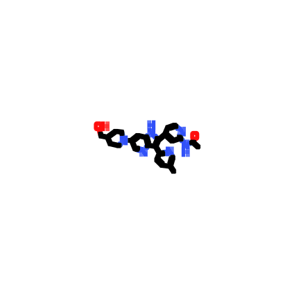 CC(=O)Nc1cc(-c2[nH]c3cc(N4CCC(CO)CC4)cnc3c2-c2ccc(C)cn2)ccn1